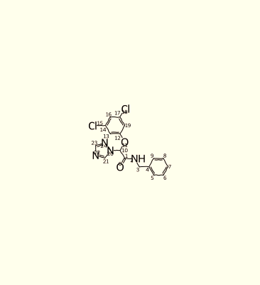 O=C(NCc1ccccc1)C(Oc1cc(Cl)cc(Cl)c1)n1cncn1